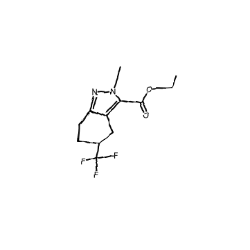 CCOC(=O)c1c2c(nn1C)CCC(C(F)(F)F)C2